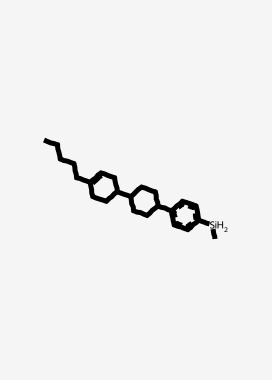 CCCCCC1=CCC(C2CCC(c3ccc([SiH2]C)cc3)CC2)CC1